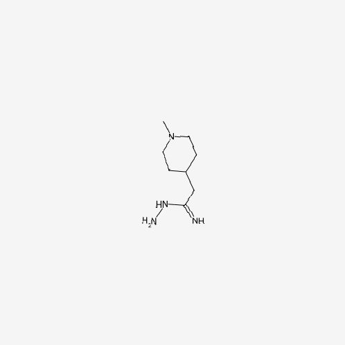 CN1CCC(CC(=N)NN)CC1